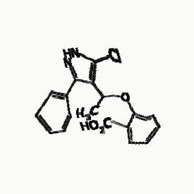 CC(Oc1ccccc1C(=O)O)c1c(-c2ccccc2)n[nH]c1Cl